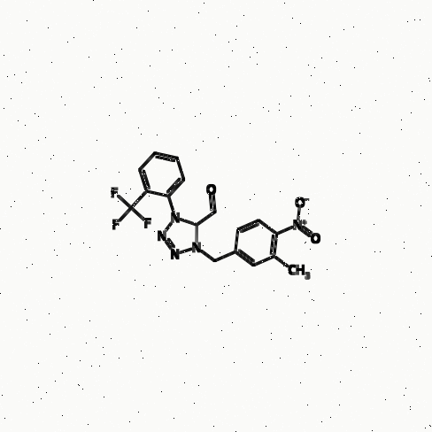 Cc1cc(CN2N=NN(c3ccccc3C(F)(F)F)C2C=O)ccc1[N+](=O)[O-]